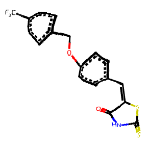 O=C1NC(=S)SC1=Cc1ccc(OCc2ccc(C(F)(F)F)cc2)cc1